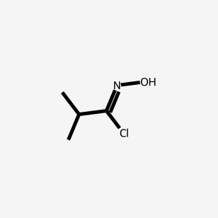 CC(C)/C(Cl)=N/O